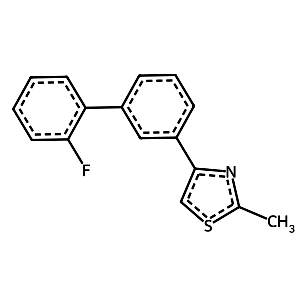 Cc1nc(-c2cccc(-c3ccccc3F)c2)cs1